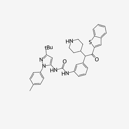 Cc1ccc(-n2nc(C(C)(C)C)cc2NC(=O)Nc2cccc(C(C(=O)c3cc4ccccc4s3)C3CCNCC3)c2)cc1